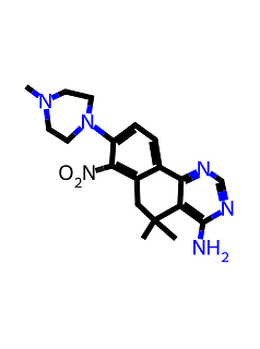 CN1CCN(c2ccc3c(c2[N+](=O)[O-])CC(C)(C)c2c(N)ncnc2-3)CC1